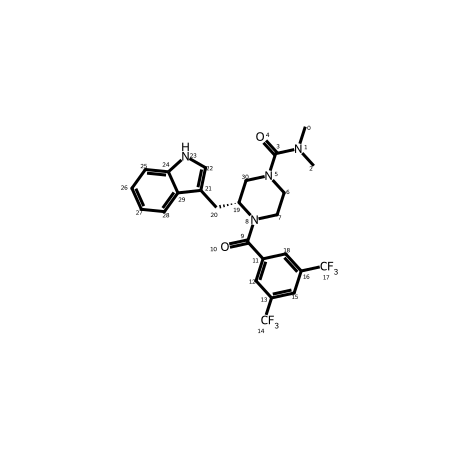 CN(C)C(=O)N1CCN(C(=O)c2cc(C(F)(F)F)cc(C(F)(F)F)c2)[C@H](Cc2c[nH]c3ccccc23)C1